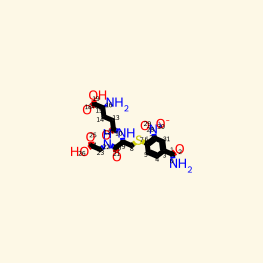 NC(=O)c1ccc(SCC(NC(=O)CC[C@H](N)C(=O)O)C(=O)NCC(=O)O)c([N+](=O)[O-])c1